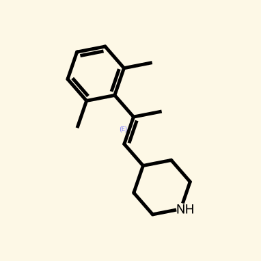 C/C(=C\C1CCNCC1)c1c(C)cccc1C